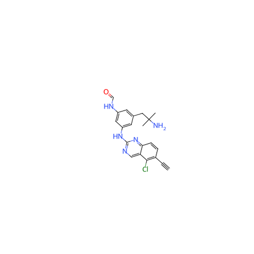 C#Cc1ccc2nc(Nc3cc(CC(C)(C)N)cc(NC=O)c3)ncc2c1Cl